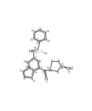 C[C@H](Nc1nc(C(=O)N2CC[C@@H](O)C2)c2sccc2n1)c1ccccn1